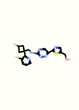 OCc1cnc(-c2cnc(NCC3(c4ncccc4F)CC(F)C3)nn2)s1